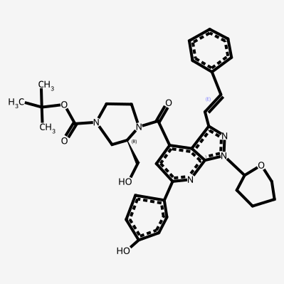 CC(C)(C)OC(=O)N1CCN(C(=O)c2cc(-c3ccc(O)cc3)nc3c2c(/C=C/c2ccccc2)nn3C2CCCCO2)[C@@H](CO)C1